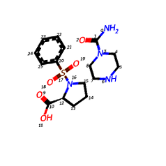 NC(=O)N1CCNCC1.O=C(O)[C@@H]1CCCN1S(=O)(=O)c1ccccc1